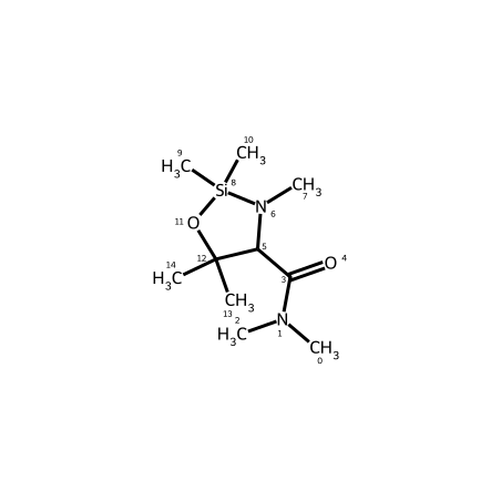 CN(C)C(=O)C1N(C)[Si](C)(C)OC1(C)C